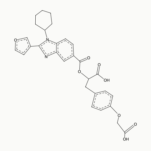 O=C(O)COc1ccc(CC(OC(=O)c2ccc3c(c2)nc(-c2ccoc2)n3C2CCCCC2)C(=O)O)cc1